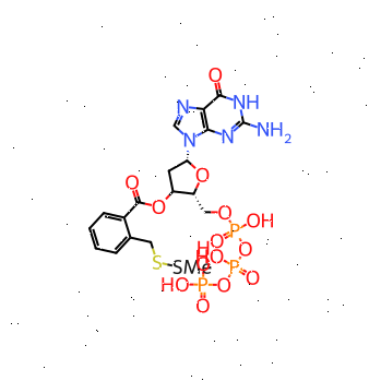 CSSCc1ccccc1C(=O)OC1C[C@H](n2cnc3c(=O)[nH]c(N)nc32)O[C@@H]1COP(=O)(O)OP(=O)(O)OP(=O)(O)O